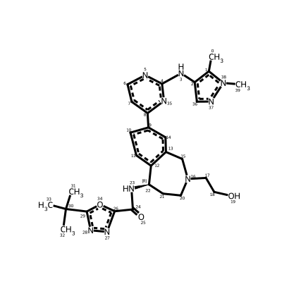 Cc1c(Nc2nccc(-c3ccc4c(c3)CN(CCO)CC[C@H]4NC(=O)c3nnc(C(C)(C)C)o3)n2)cnn1C